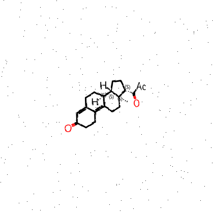 CC(=O)C(=O)[C@H]1CC[C@H]2[C@@H]3CCC4=CC(=O)CCC4=C3CC[C@]12C